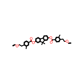 C=COCCc1ccc(C(=O)Oc2ccc3c(c2)C(C)(C)c2cc(OC(=O)c4ccc(CCOC=C)c(C)c4)ccc2-3)cc1C